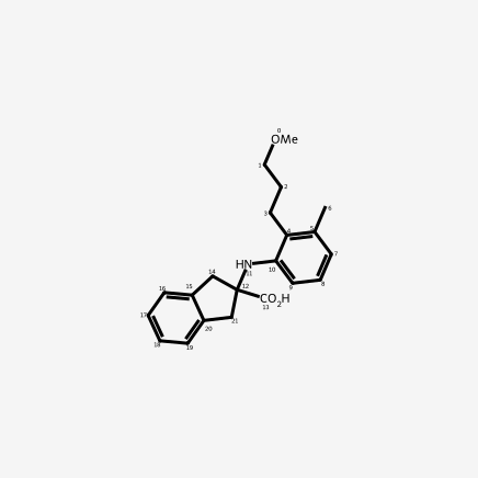 COCCCc1c(C)cccc1NC1(C(=O)O)Cc2ccccc2C1